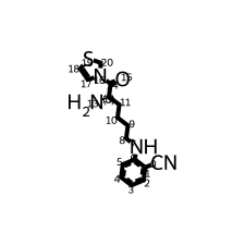 N#Cc1ccccc1NCCCC[C@H](N)C(=O)N1C=CSC1